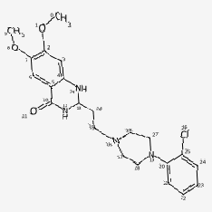 COc1cc2c(cc1OC)C(=O)NC(CCN1CCN(c3ccccc3Cl)CC1)N2